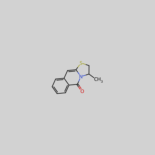 CC1CSc2cc3ccccc3c(=O)n21